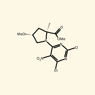 CCc1nc(Cl)nc(N2C[C@H](OC)C[C@@]2(C)C(=O)OC)c1[N+](=O)[O-]